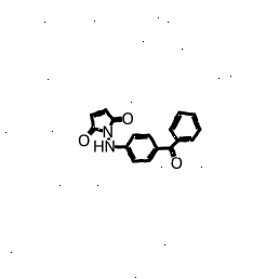 O=C(c1ccccc1)c1ccc(NN2C(=O)C=CC2=O)cc1